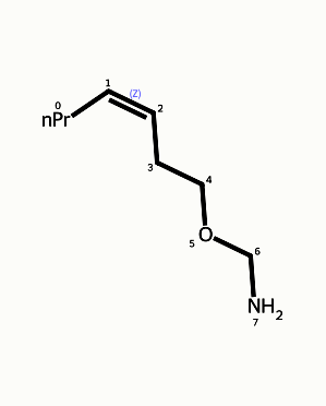 CCC/C=C\CCOCN